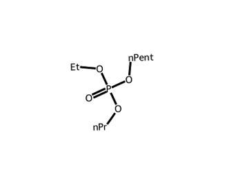 CCCCCOP(=O)(OCC)OCCC